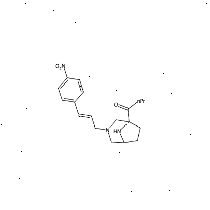 CCCC(=O)C12CCC(CN(CC=Cc3ccc([N+](=O)[O-])cc3)C1)N2